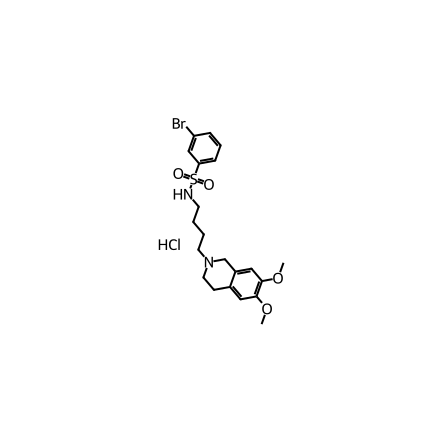 COc1cc2c(cc1OC)CN(CCCCNS(=O)(=O)c1cccc(Br)c1)CC2.Cl